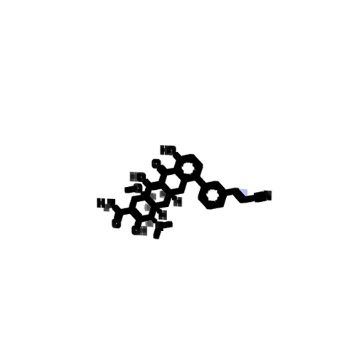 CO[C@@]12CC(C(N)=O)=C(O)[C@@H](N(C)C)[C@@H]1C[C@@H]1Cc3c(-c4cccc(/C=C/C#N)c4)ccc(O)c3C(=O)C1=C2O